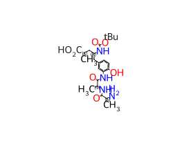 C[C@H](N)C(=O)N[C@@H](C)C(=O)Nc1cc(C[C@@H](C[C@H](C)C(=O)O)NC(=O)OC(C)(C)C)ccc1O